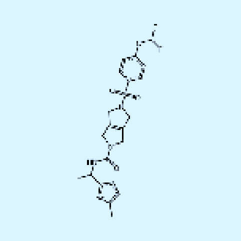 Cc1ccc(C(C)NC(=O)N2CC3=C(C2)CN(S(=O)(=O)c2ccc(OC(F)F)cc2)C3)s1